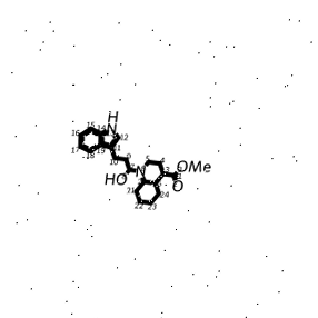 COC(=O)C1CCN(C(O)CCc2c[nH]c3ccccc23)C2CCCCC12